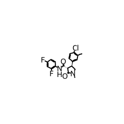 Cc1cc([C@H]2CN(C)C(=O)[C@@H]2C(=O)Nc2ccc(F)cc2F)ccc1Cl